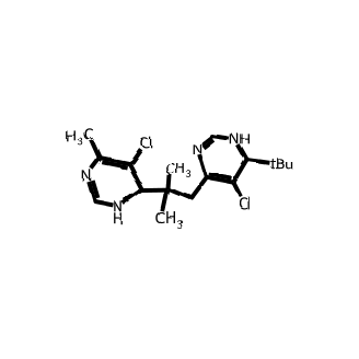 CC1=C(Cl)C(C(C)(C)CC2=C(Cl)C(C(C)(C)C)NC=N2)NC=N1